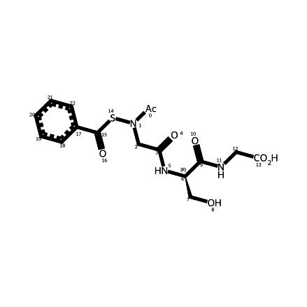 CC(=O)N(CC(=O)N[C@H](CO)C(=O)NCC(=O)O)SC(=O)c1ccccc1